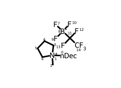 CCCCCCCCCC[N+]1(C)CCCC1.F[B-](F)(F)C(F)(F)C(F)(F)F